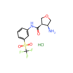 Cl.N[C@@H]1COC[C@@H]1C(=O)Nc1cccc(S(=O)(=O)C(F)(F)F)c1